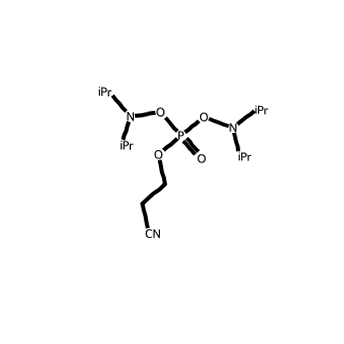 CC(C)N(OP(=O)(OCCC#N)ON(C(C)C)C(C)C)C(C)C